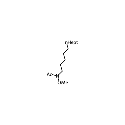 CCCCCCCCCCCCN(OC)C(C)=O